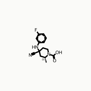 C[C@H]1CC(C#N)(Nc2cccc(F)c2)CCN1C(=O)O